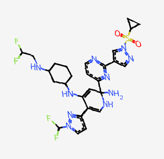 NC1(c2ccnc(-c3cnn(S(=O)(=O)C4CC4)c3)n2)C=C(NC2CCCC(NCC(F)F)C2)C(c2ccn(C(F)F)n2)=CN1